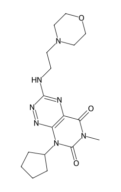 Cn1c(=O)c2nc(NCCN3CCOCC3)nnc2n(C2CCCC2)c1=O